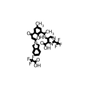 Cc1cc(C(C)Nc2cnc(C(F)(F)F)nc2C(=O)O)c2oc(N3Cc4ccccc4C3)cc(=O)c2c1.O=C(O)C(F)(F)F